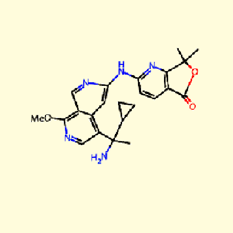 COc1ncc(C(C)(N)C2CC2)c2cc(Nc3ccc4c(n3)C(C)(C)OC4=O)ncc12